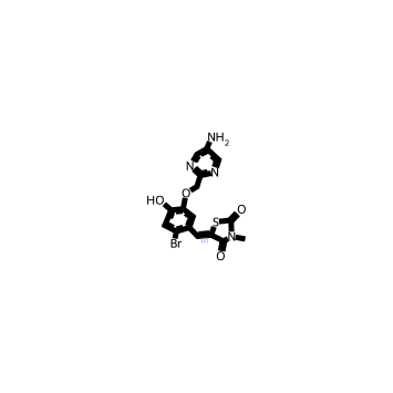 CN1C(=O)S/C(=C\c2cc(OCc3ncc(N)cn3)c(O)cc2Br)C1=O